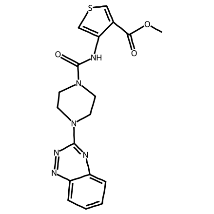 COC(=O)c1cscc1NC(=O)N1CCN(c2nnc3ccccc3n2)CC1